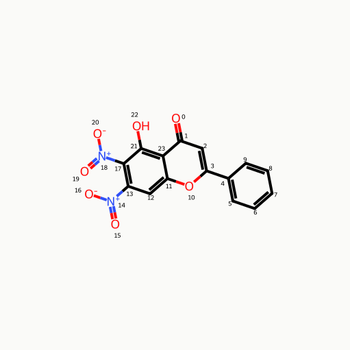 O=c1cc(-c2ccccc2)oc2cc([N+](=O)[O-])c([N+](=O)[O-])c(O)c12